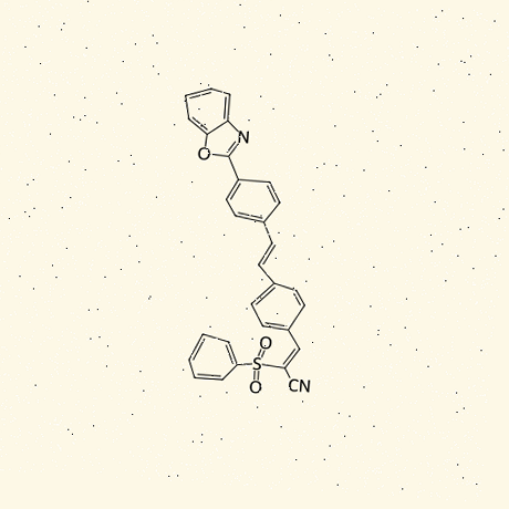 N#CC(=Cc1ccc(C=Cc2ccc(-c3nc4ccccc4o3)cc2)cc1)S(=O)(=O)c1ccccc1